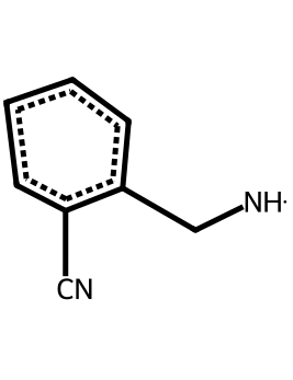 N#Cc1ccccc1C[NH]